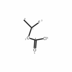 CC(F)OC(=O)Cl